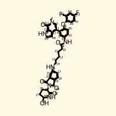 Cn1cc(-c2cc(NC(=O)CCCCCNc3ccc4c(c3)C(=O)N(C3CCC(O)NC3=O)C4=O)ccc2Oc2ccc(F)cc2F)c2cc[nH]c2c1=O